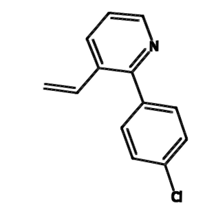 C=Cc1cccnc1-c1ccc(Cl)cc1